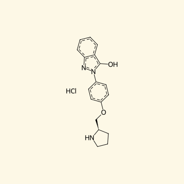 Cl.Oc1c2ccccc2nn1-c1ccc(OC[C@H]2CCCN2)cc1